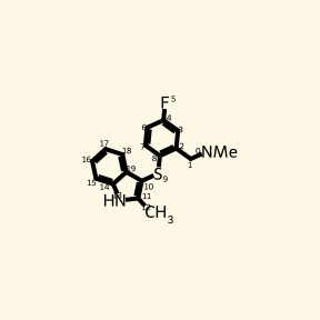 CNCc1cc(F)ccc1Sc1c(C)[nH]c2ccccc12